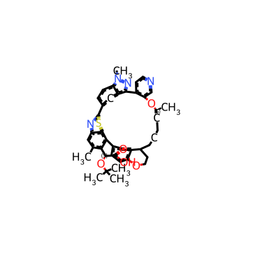 Cc1cc2nc3sc2c(c1[C@H](OC(C)(C)C)C(=O)O)-c1ccc2c(c1)C(CCCC[C@H](C)Oc1cnccc1-c1nn(C)c4ccc-3cc14)CCO2